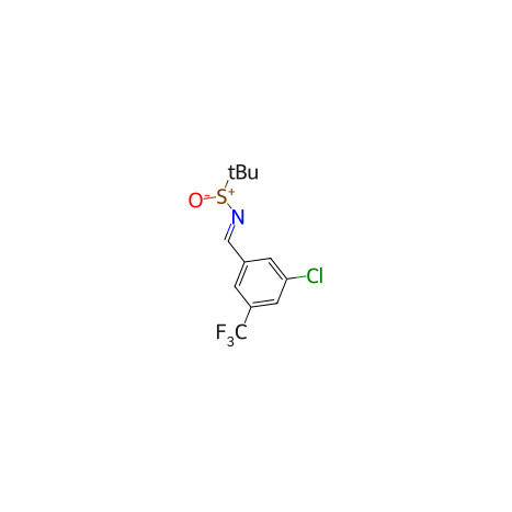 CC(C)(C)[S+]([O-])N=Cc1cc(Cl)cc(C(F)(F)F)c1